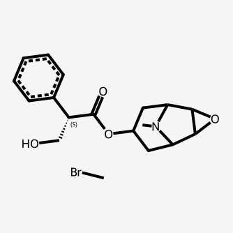 CBr.CN1C2CC(OC(=O)[C@H](CO)c3ccccc3)CC1C1OC12